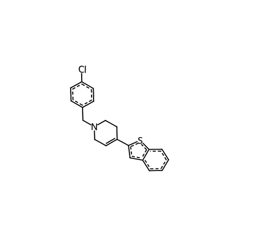 Clc1ccc(CN2CC=C(c3cc4ccccc4s3)CC2)cc1